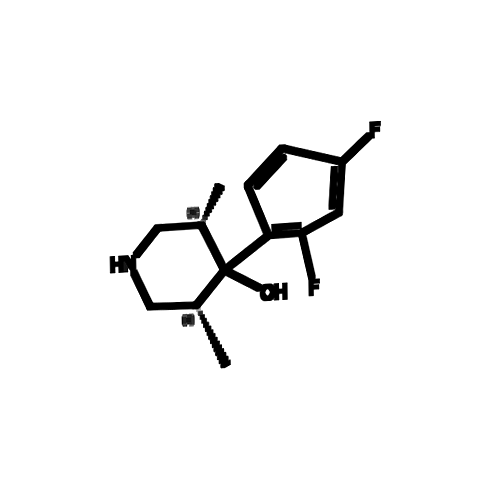 C[C@@H]1CNC[C@H](C)C1(O)c1ccc(F)cc1F